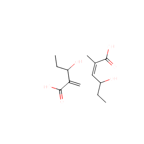 C=C(C(=O)O)C(O)CC.CCC(O)C=C(C)C(=O)O